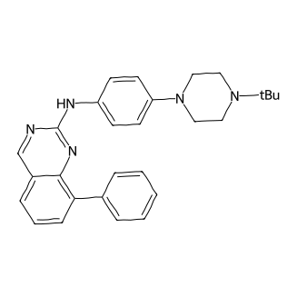 CC(C)(C)N1CCN(c2ccc(Nc3ncc4cccc(-c5ccccc5)c4n3)cc2)CC1